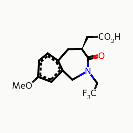 COc1ccc2c(c1)CN(CC(F)(F)F)C(=O)[C@H](CC(=O)O)C2